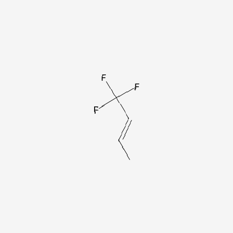 C/C=C/C(F)(F)F